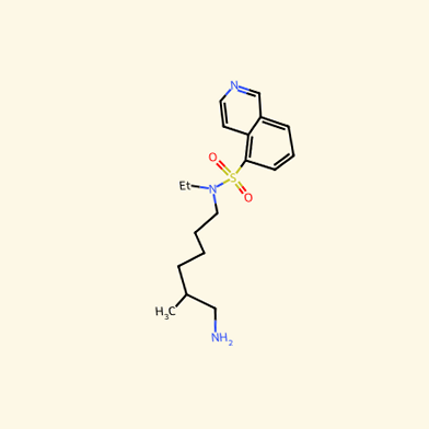 CCN(CCCCC(C)CN)S(=O)(=O)c1cccc2cnccc12